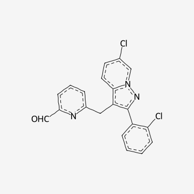 O=Cc1cccc(Cc2c(-c3ccccc3Cl)nn3cc(Cl)ccc23)n1